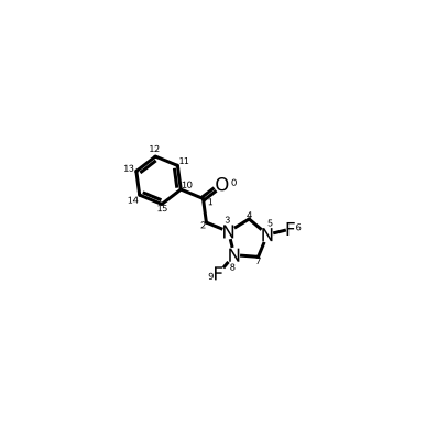 O=C(CN1CN(F)CN1F)c1ccccc1